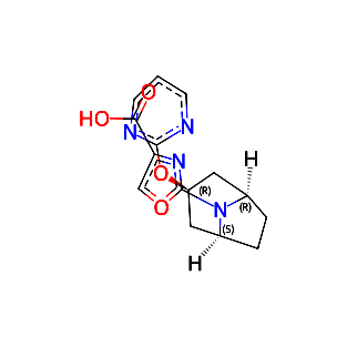 O=C(O)c1coc(N2[C@@H]3CC[C@H]2C[C@@H](Oc2ncccn2)C3)n1